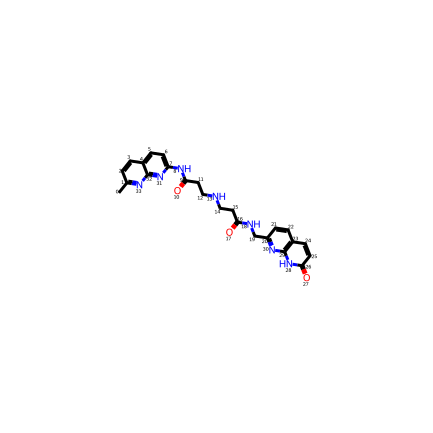 Cc1ccc2ccc(NC(=O)CCNCCC(=O)NCc3ccc4ccc(=O)[nH]c4n3)nc2n1